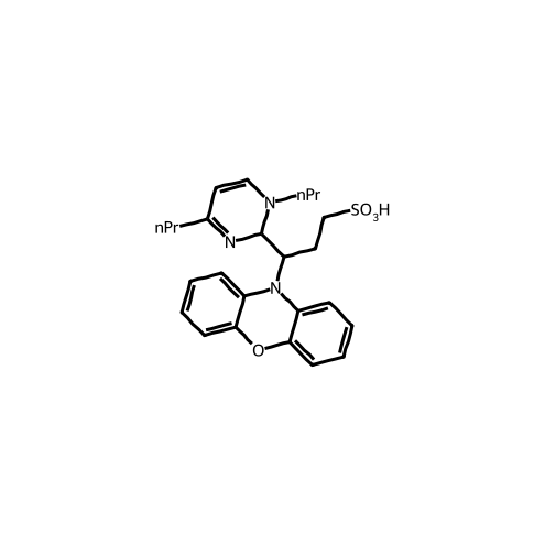 CCCC1=NC(C(CCS(=O)(=O)O)N2c3ccccc3Oc3ccccc32)N(CCC)C=C1